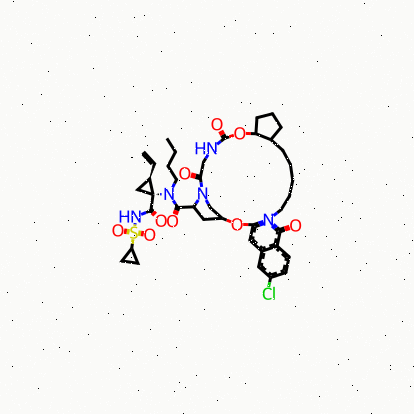 C=C[C@@H]1C[C@@]1(C(=O)NS(=O)(=O)C1CC1)N(CCCC)C(=O)C1CC2CN1C(=O)CNC(=O)OC1CCCC1CCCCCn1c(cc3cc(Cl)ccc3c1=O)O2